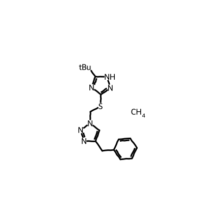 C.CC(C)(C)c1nc(SCn2cc(Cc3ccccc3)nn2)n[nH]1